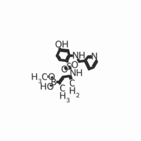 C=C(/C=C(\C)B(O)OC)NS(=O)(=O)c1ccc(O)cc1NCc1cccnc1